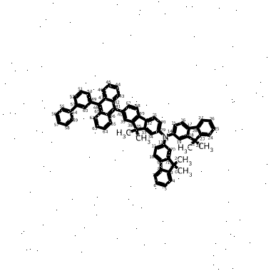 CC1(C)c2ccccc2-c2ccc(N(c3ccc4c(c3)C(C)(C)c3ccccc3-4)c3ccc4c(c3)C(C)(C)c3cc(-c5c6ccccc6c(-c6cccc(-c7ccccc7)c6)c6ccccc56)ccc3-4)cc21